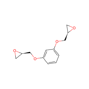 c1cc(OC[C@H]2CO2)cc(OC[C@H]2CO2)c1